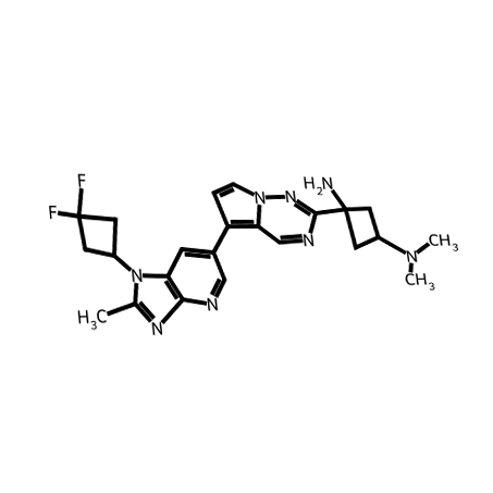 Cc1nc2ncc(-c3ccn4nc(C5(N)CC(N(C)C)C5)ncc34)cc2n1C1CC(F)(F)C1